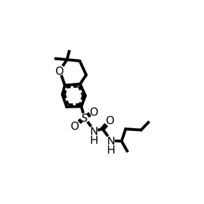 CCCC(C)NC(=O)NS(=O)(=O)c1ccc2c(c1)CCC(C)(C)O2